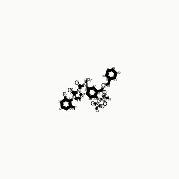 CC(C)N(C(=O)n1nnn(-c2c(F)cccc2F)c1=O)c1ccc(N(S(C)(=O)=O)S(C)(=O)=O)c(C(=O)OCc2ccccc2)c1